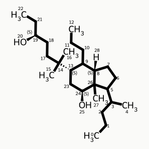 CCCC(C)C1CC[C@H]2C(CCC)[C@@H](C(C)(C)CC[C@@H](O)CC)C[C@H](O)C12C